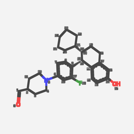 O=CC1CCN(c2ccc([C@H]3c4ccc(O)cc4CC[C@H]3C3CCCCC3)c(F)c2)CC1